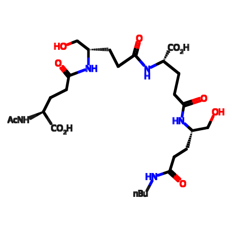 CCCCNC(=O)CC[C@@H](CO)NC(=O)CC[C@H](NC(=O)CC[C@@H](CO)NC(=O)CC[C@H](NC(C)=O)C(=O)O)C(=O)O